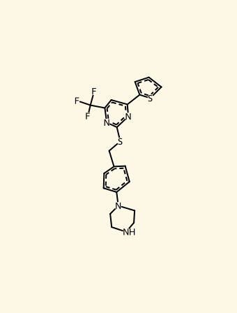 FC(F)(F)c1cc(-c2cccs2)nc(SCc2ccc(N3CCNCC3)cc2)n1